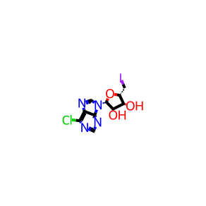 O[C@@H]1[C@H](O)[C@@H](CI)O[C@H]1n1cnc2c(Cl)ncnc21